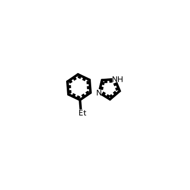 CCc1ccccc1.c1c[nH]cn1